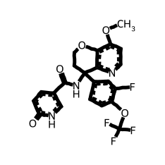 COc1ccnc2c1OCCC2(NC(=O)c1ccc(=O)[nH]c1)c1ccc(OC(F)(F)F)c(F)c1